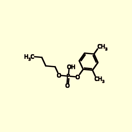 CCCCOP(=O)(O)Oc1ccc(C)cc1C